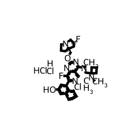 CN(CC1(N(C)C)CCC1)c1nc(OC[C@@]23CCCN2C[C@H](F)C3)nc2c(F)c(-c3cc(O)cc4cccc(Cl)c34)ncc12.Cl.Cl